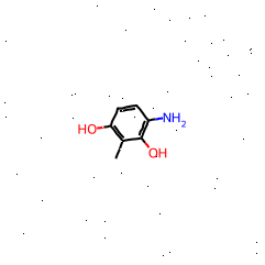 Cc1c(O)ccc(N)c1O